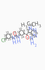 CC(C)n1cc(C(=O)c2cccc(NC(=O)Nc3cccc(Cl)c3)c2)c2c(N)ncnc21